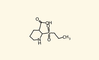 CCCS(=O)(=O)C1NCCCC1C(=O)O